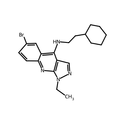 CCn1ncc2c(NCCC3CCCCC3)c3cc(Br)ccc3nc21